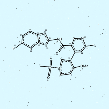 COc1ccc(S(C)(=O)=O)cc1-c1cc(C)ncc1C(=O)Nc1nc2ccc(Br)nc2s1